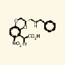 CCC(C(=O)O)c1c([N+](=O)[O-])ccc2c1O[C@@H](CNCc1ccccc1)CO2